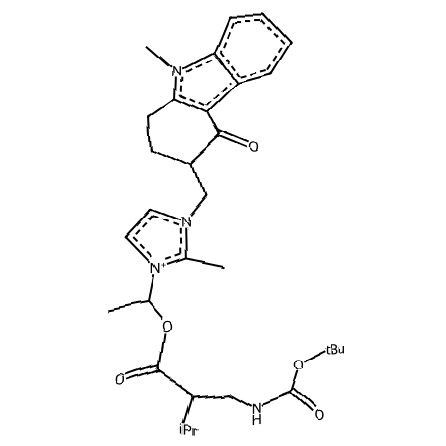 Cc1n(CC2CCc3c(c4ccccc4n3C)C2=O)cc[n+]1C(C)OC(=O)C(CNC(=O)OC(C)(C)C)C(C)C